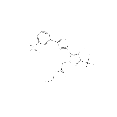 CCOC(=O)Cn1nc(C(F)(F)F)c(Cl)c1-c1nc(-c2cccc(S(C)(=O)=O)c2)no1